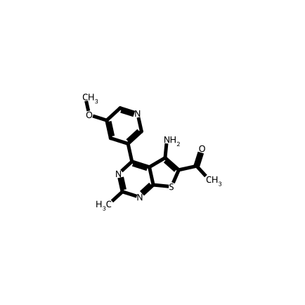 COc1cncc(-c2nc(C)nc3sc(C(C)=O)c(N)c23)c1